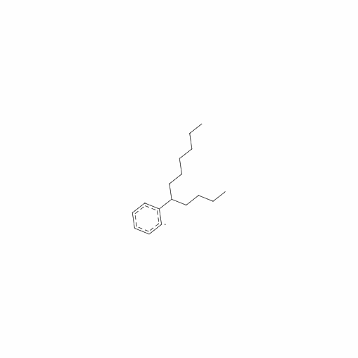 CCCCCCC(CCCC)c1[c]cccc1